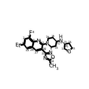 CCc1cc(F)c2nc(N3CCC(N[C@@H]4CCOC4)CC3)c(-c3noc(C)n3)cc2c1